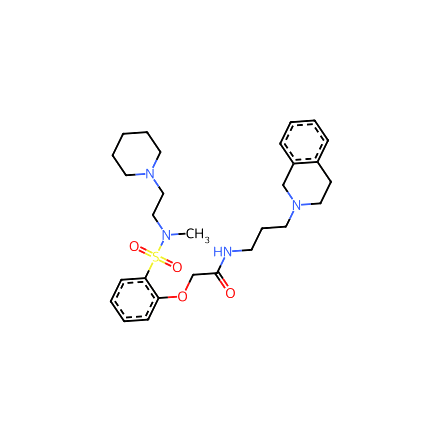 CN(CCN1CCCCC1)S(=O)(=O)c1ccccc1OCC(=O)NCCCN1CCc2ccccc2C1